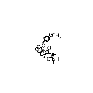 COc1ccc(COC(=O)C2=C(CCl)CSC3C(NC(=O)NI)C(=O)N23)cc1